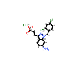 Cl.Nc1ccc2c(/C=C/C(=O)O)nn(Cc3ccc(Cl)cc3Cl)c2c1